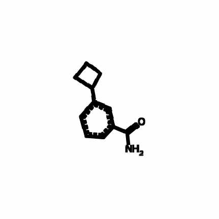 NC(=O)c1cccc(C2CCC2)c1